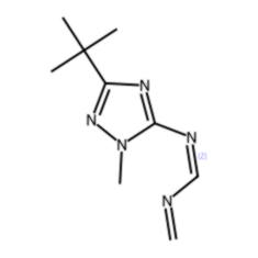 C=N/C=N\c1nc(C(C)(C)C)nn1C